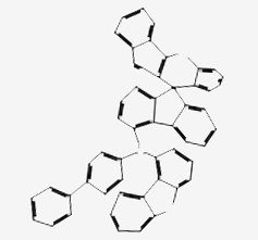 c1ccc(-c2ccc(N(c3cccc4c3-c3ccccc3C43c4ccccc4Oc4c3ccc3ccccc43)c3cccc4oc5ccccc5c34)cc2)cc1